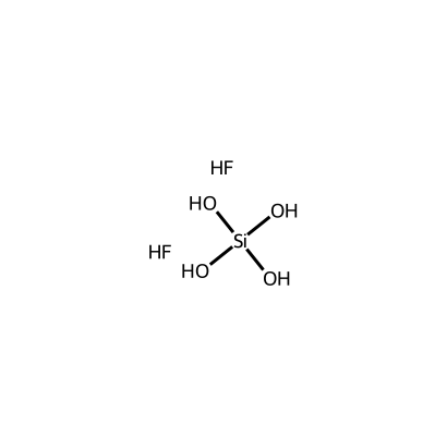 F.F.O[Si](O)(O)O